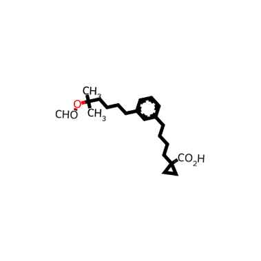 CC(C)(CCCCc1cccc(CCCCC2(C(=O)O)CC2)c1)OC=O